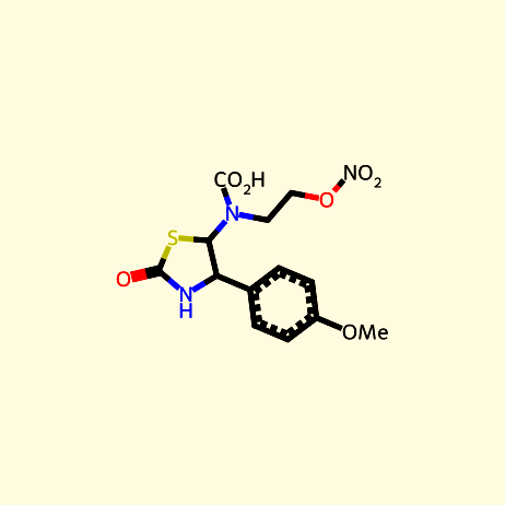 COc1ccc(C2NC(=O)SC2N(CCO[N+](=O)[O-])C(=O)O)cc1